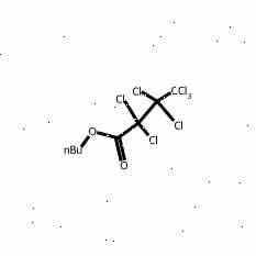 CCCCOC(=O)C(Cl)(Cl)C(Cl)(Cl)C(Cl)(Cl)Cl